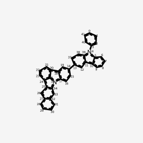 c1ccc(-n2c3ccccc3c3cc(-c4ccc5c(c4)c4cccc6c7cc8ccccc8cc7n5c46)ccc32)cc1